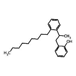 CCCCCCCCCc1ccccc1C(C)Cc1ccccc1O